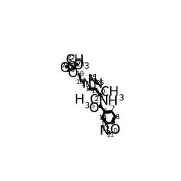 CC(C)(NC(=O)c1ccc2ocnc2c1)c1cn(CCOS(C)(=O)=O)nn1